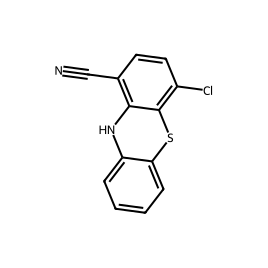 N#Cc1ccc(Cl)c2c1Nc1ccccc1S2